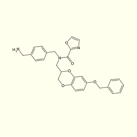 NCc1ccc(CN(CC2COc3ccc(OCc4ccccc4)cc3O2)C(=O)c2ncco2)cc1